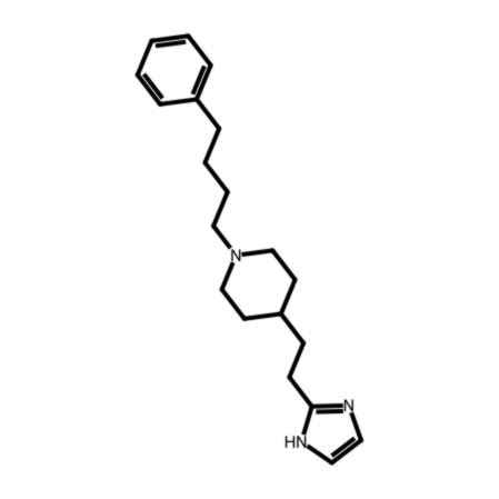 c1ccc(CCCCN2CCC(CCc3ncc[nH]3)CC2)cc1